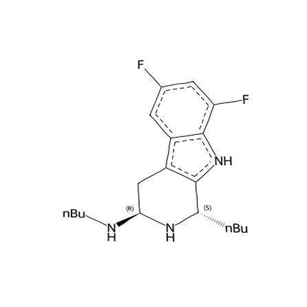 CCCCN[C@H]1Cc2c([nH]c3c(F)cc(F)cc23)[C@H](CCCC)N1